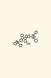 N#Cc1ccc2c(c1)-c1c(ccc3sc(-c4nc(-c5ccccc5)nc(-c5ccccc5)n4)cc13)C21c2ccccc2-c2cc(-c3nc4ccccc4n3-c3ccccc3)ccc21